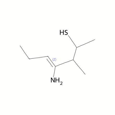 CC/C=C(\N)C(C)C(C)S